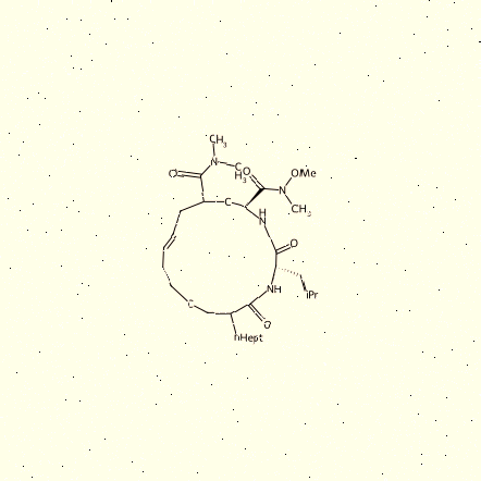 CCCCCCCC1CCCC/C=C/CC(C(=O)N(C)C)C[C@@H](C(=O)N(C)OC)NC(=O)[C@H](CC(C)C)NC1=O